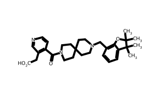 CC1(C)Oc2c(CN3CCC4(CC3)CCN(C(=O)c3ccncc3CC(=O)O)CC4)cccc2C1(C)C